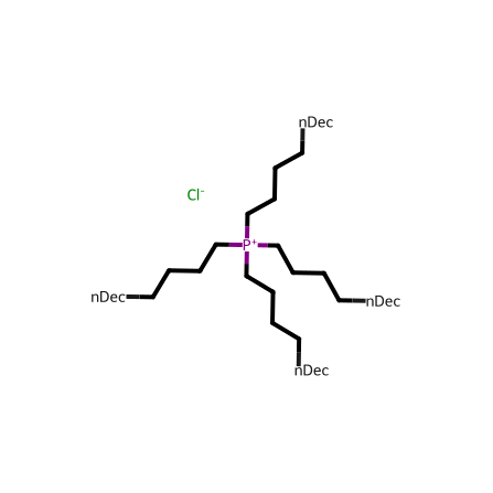 CCCCCCCCCCCCCC[P+](CCCCCCCCCCCCCC)(CCCCCCCCCCCCCC)CCCCCCCCCCCCCC.[Cl-]